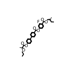 CCCO[C@@H](C)C(=O)Oc1ccc(-c2ccc(C(=O)Oc3ccc(C(=O)OC[C@@H](C)CC)c(F)c3)cc2)cc1